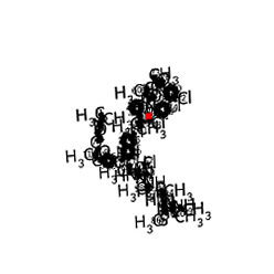 CC(C)=NOCCOC(=O)[C@@H](C)Oc1ccc(Oc2cnc3cc(Cl)ccc3n2)cc1.CC(C)N(C(=O)CCl)c1ccccc1.CC(C)Nc1nc(Cl)nc(NC(C)C)n1.CC(C)OC(=O)Nc1ccccc1.CCC(=O)Nc1ccc(Cl)c(Cl)c1.CSc1nc(NC(C)C)nc(NC(C)C)n1